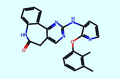 Cc1cccc(Oc2ncccc2Nc2ncc3c(n2)-c2ccccc2NC(=O)C3)c1C